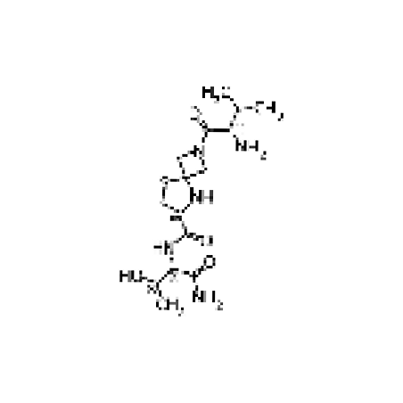 CC(C)[C@H](N)C(=O)N1CC2(C1)N[C@H](C(=O)N[C@H](C(N)=O)[C@@H](C)O)CS2